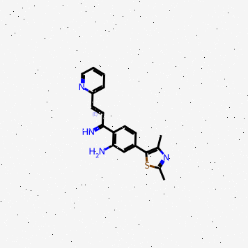 Cc1nc(C)c(-c2ccc(C(=N)/C=C/c3ccccn3)c(N)c2)s1